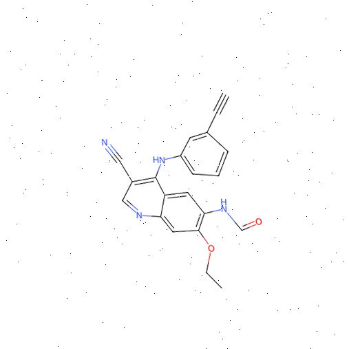 C#Cc1cccc(Nc2c(C#N)cnc3cc(OCC)c(NC=O)cc23)c1